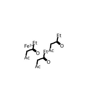 CCC(=O)CC(C)=O.CCC(=O)CC(C)=O.CCC(=O)CC(C)=O.[Fe+3]